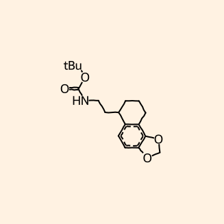 CC(C)(C)OC(=O)NCCC1CCCc2c1ccc1c2OCO1